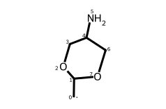 [CH2]C1OCC(N)CO1